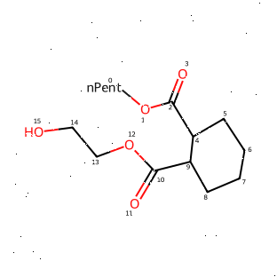 CCCCCOC(=O)C1CCCCC1C(=O)OCCO